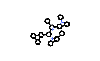 c1ccc(-c2cc(-c3cc(-c4ccc5c6ccccc6c6ccccc6c5c4)cc(-n4c5ccccc5c5ccc(-c6ccccc6)cc54)c3)nc(-c3ccc4c5ccccc5n(-c5ccccc5)c4c3)c2)cc1